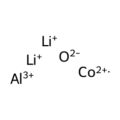 [Al+3].[Co+2].[Li+].[Li+].[O-2]